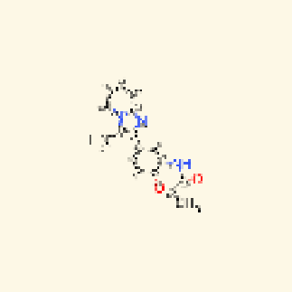 Cc1c(-c2ccc3c(c2)NC(=O)C(C)O3)nc2ccccn12